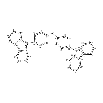 c1ccc2c(c1)c1cnccc1n2-c1ccc(Cc2ccc(-n3c4ccccc4c4ccncc43)cc2)cc1